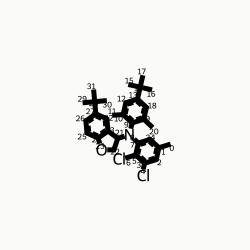 Cc1cc(Cl)c(Cl)c(N(c2c(C)cc(C(C)(C)C)cc2C)C2COc3ccc(C(C)(C)C)cc32)c1